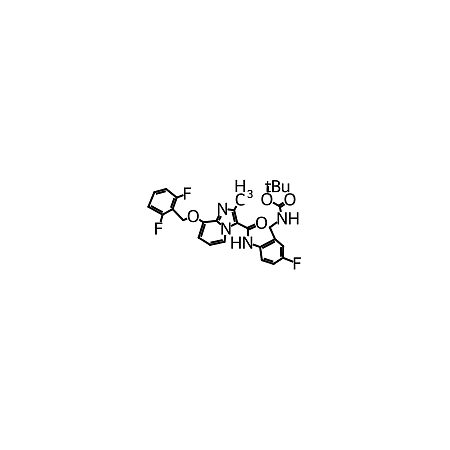 Cc1nc2c(OCc3c(F)cccc3F)cccn2c1C(=O)Nc1ccc(F)cc1CNC(=O)OC(C)(C)C